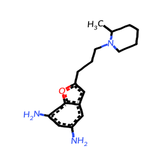 CC1CCCCN1CCCc1cc2cc(N)cc(N)c2o1